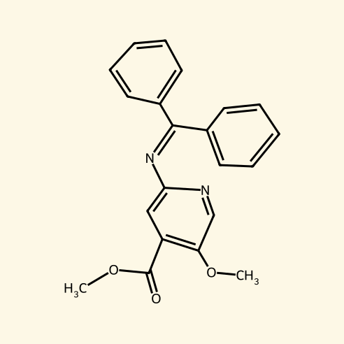 COC(=O)c1cc(N=C(c2ccccc2)c2ccccc2)ncc1OC